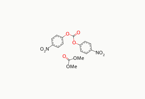 COC(=O)OC.O=C(Oc1ccc([N+](=O)[O-])cc1)Oc1ccc([N+](=O)[O-])cc1